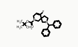 CC(C)(C)OC(=O)N1CC=C(F)C2(CCN(C(c3ccccc3)c3ccccc3)C2)C1